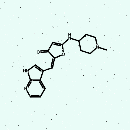 CN1CCC(NC2=CC(=O)/C(=C\c3c[nH]c4ncccc34)O2)CC1